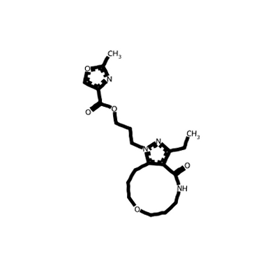 CCc1nn(CCCOC(=O)c2coc(C)n2)c2c1C(=O)NCCCOCCC2